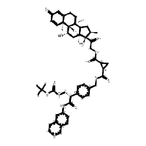 C[C@@H]1CC2[C@@H]3CCC4=CC(=O)C=C[C@]4(C)[C@@]3(F)[C@@H](O)C[C@]2(C)[C@@]1(O)C(=O)COC(=O)C1CC1C(=O)OCc1ccc([C@@H](CNC(=O)OC(C)(C)C)C(=O)Nc2ccc3cnccc3c2)cc1